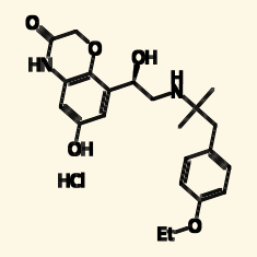 CCOc1ccc(CC(C)(C)NC[C@H](O)c2cc(O)cc3c2OCC(=O)N3)cc1.Cl